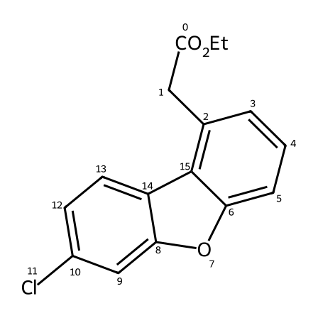 CCOC(=O)Cc1cccc2oc3cc(Cl)ccc3c12